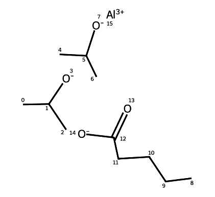 CC(C)[O-].CC(C)[O-].CCCCC(=O)[O-].[Al+3]